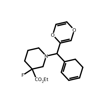 CCOC(=O)C1(F)CCCN(C(C2=CC=CCC2)C2=COC=CO2)C1